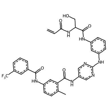 C=CC(=O)NC(CO)C(=O)Nc1cccc(Nc2ncc(NC(=O)c3cc(NC(=O)c4cccc(C(F)(F)F)c4)ccc3C)cn2)c1